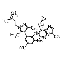 Cc1nn(CCN(C)C)c(C)c1-c1cc(C#N)cc(Nc2nc(NC3CC3)c3ncc(C#N)n3n2)c1Cl